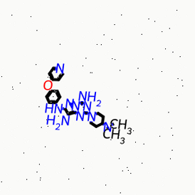 CN(C)C1CCN(c2nc(N)n3nc(Nc4ccc(Oc5ccncc5)cc4)c(N)c3n2)CC1